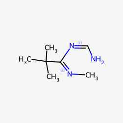 C/N=C(\N=C/N)C(C)(C)C